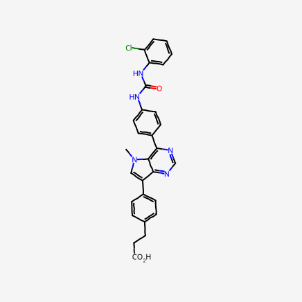 Cn1cc(-c2ccc(CCC(=O)O)cc2)c2ncnc(-c3ccc(NC(=O)Nc4ccccc4Cl)cc3)c21